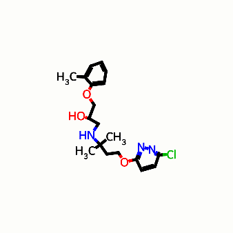 Cc1ccccc1OCC(O)CNC(C)(C)CCOc1ccc(Cl)nn1